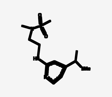 CSC(C)c1ccnc(NCCN(C)S(C)(=O)=O)c1